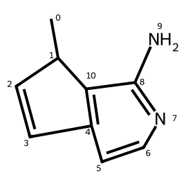 CC1C=Cc2ccnc(N)c21